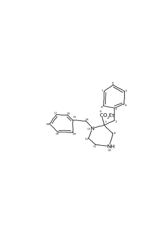 CCOC(=O)C1(Cc2ccccc2)CNCCN1Cc1ccccc1